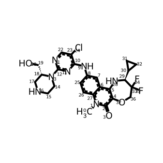 Cn1c(=O)c2c(c3cc(Nc4nc(N5CCNC[C@@H]5CO)ncc4Cl)ccc31)N[C@@H](C1CC1)C(F)(F)CO2